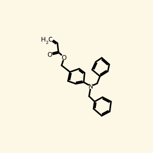 C=CC(=O)OCc1ccc(N(Cc2ccccc2)Cc2ccccc2)cc1